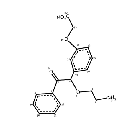 NCCOC(C(=O)c1ccccc1)c1cccc(OCC(=O)O)c1